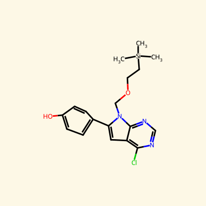 C[Si](C)(C)CCOCn1c(-c2ccc(O)cc2)cc2c(Cl)ncnc21